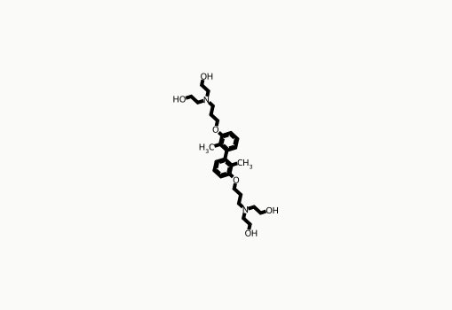 Cc1c(OCCCN(CCO)CCO)cccc1-c1cccc(OCCCN(CCO)CCO)c1C